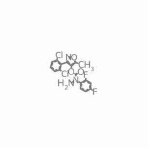 Cc1onc(-c2c(Cl)cccc2Cl)c1OC(=O)N(N)c1ccc(F)cc1F